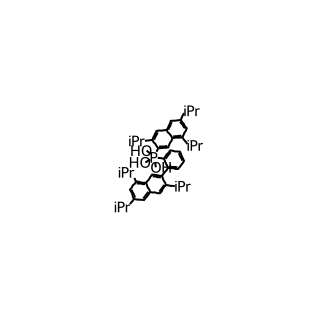 CC(C)c1cc(C(C)C)c2cc(-c3ccccc3P(O)(O)(O)c3cc4c(C(C)C)cc(C(C)C)cc4cc3C(C)C)c(C(C)C)cc2c1